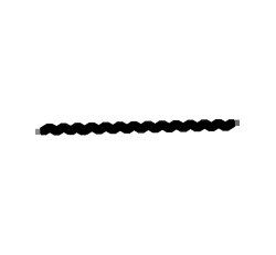 [CH2]CCCC/C=C/CCCCCCCCCCCCCCCCCCCC[CH2]